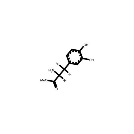 [2H]C(N)(C(=O)OC)C([2H])([2H])c1ccc(O)c(O)c1